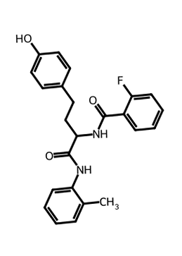 Cc1ccccc1NC(=O)C(CCc1ccc(O)cc1)NC(=O)c1ccccc1F